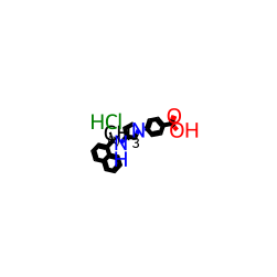 C[C@@H](NC1CCN(c2ccc(C(=O)O)cc2)C1)c1cccc2ccccc12.Cl